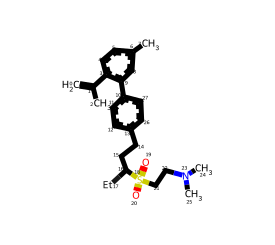 C=C(C)c1ccc(C)cc1-c1ccc(CCC(CC)S(=O)(=O)CCN(C)C)cc1